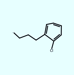 [CH2]CCCc1ccccc1Cl